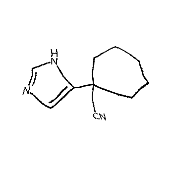 N#CC1(c2cnc[nH]2)CCCCC1